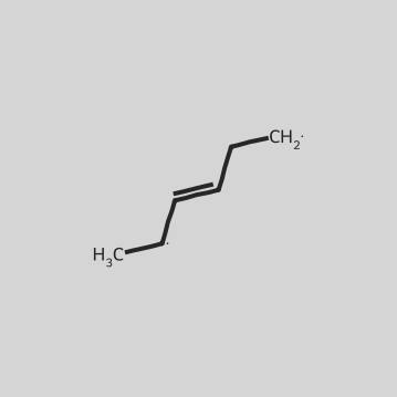 [CH2]C/C=C/[CH]C